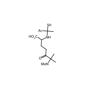 CNC(C)(C)C(=O)CCC(NC(C)(S)C(C)=O)C(=O)O